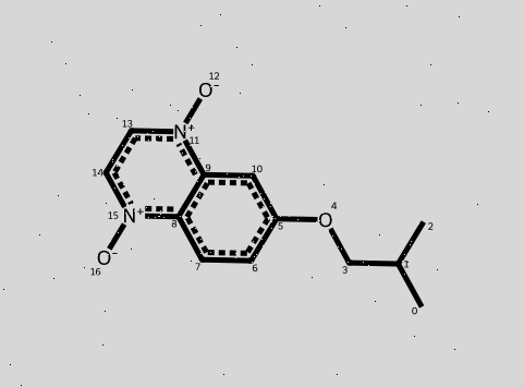 CC(C)COc1ccc2c(c1)[n+]([O-])cc[n+]2[O-]